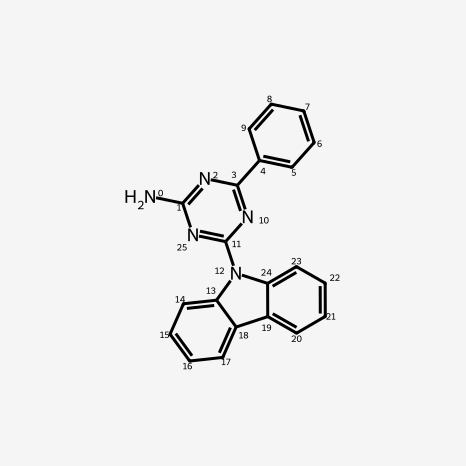 Nc1nc(-c2ccccc2)nc(-n2c3ccccc3c3ccccc32)n1